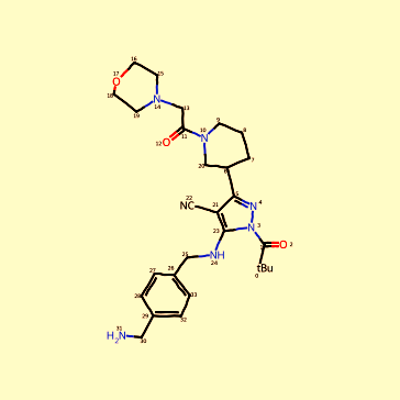 CC(C)(C)C(=O)n1nc(C2CCCN(C(=O)CN3CCOCC3)C2)c(C#N)c1NCc1ccc(CN)cc1